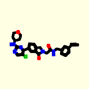 COc1cccc(CNC(=O)CN2Cc3ccc(-c4nc(NC5CCOCC5)ncc4Cl)cc3C2=O)c1